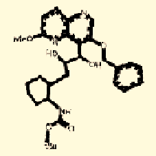 COc1ccc2ncc(OCc3ccccc3)c(C(O)C(O)CC3CCCCC3NC(=O)OC(C)(C)C)c2n1